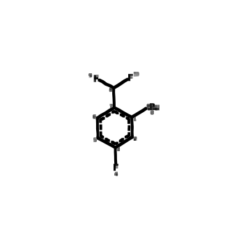 CC(C)(C)c1cc(F)ccc1C(F)F